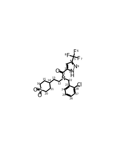 O=C(c1cc(C(F)(F)F)n[nH]1)N(CCC1CCS(=O)(=O)CC1)Cc1ccccc1Cl